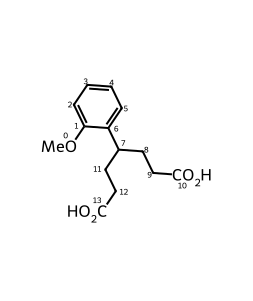 COc1ccccc1C(CCC(=O)O)CCC(=O)O